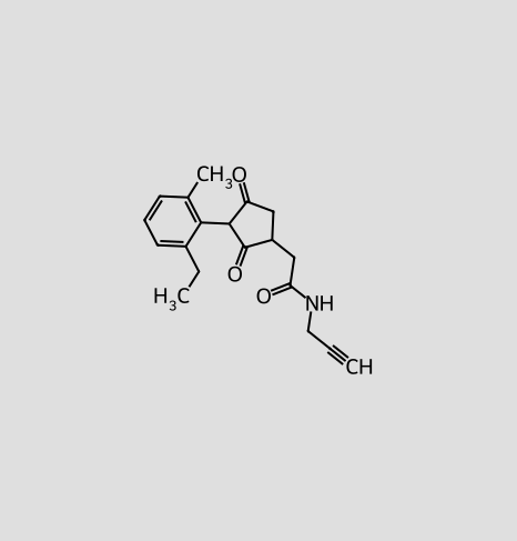 C#CCNC(=O)CC1CC(=O)C(c2c(C)cccc2CC)C1=O